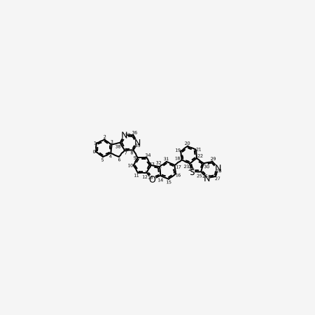 c1ccc2c(c1)Cc1c(-c3ccc4oc5ccc(-c6cccc7c6sc6ncncc67)cc5c4c3)ncnc1-2